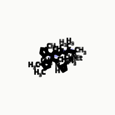 C=C(NC1CCC1C)\C(C1=C[C@H](C)C(C)C1)=C(/C(C)=C/C(C)=C(C)/C(C)=C(/C)N(C)CC)C1C(C)CCC1C